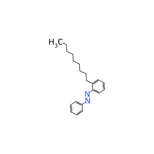 CCCCCCCCCc1ccccc1N=Nc1ccccc1